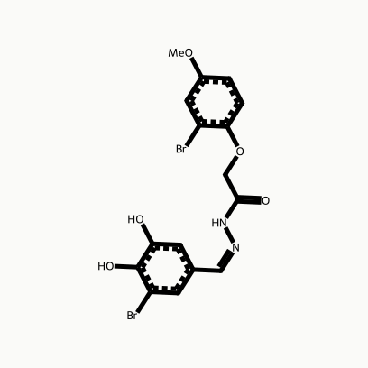 COc1ccc(OCC(=O)N/N=C\c2cc(O)c(O)c(Br)c2)c(Br)c1